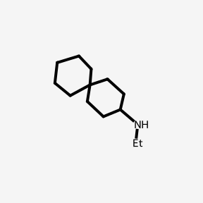 CCNC1CCC2(CCCCC2)CC1